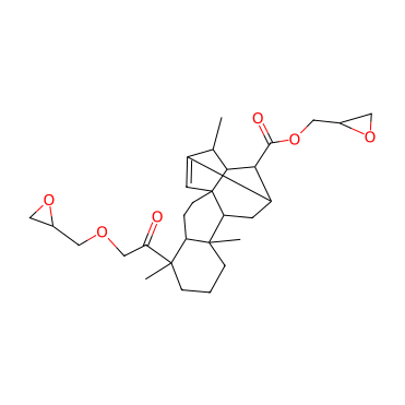 CC1C2=CC34CCC5C(C)(C(=O)COCC6CO6)CCCC5(C)C3CC2C(C(=O)OCC2CO2)C14